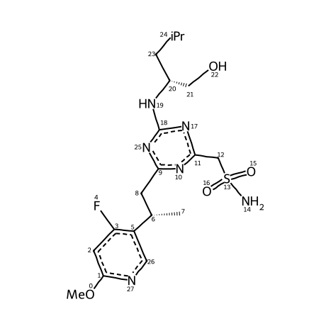 COc1cc(F)c([C@@H](C)Cc2nc(CS(N)(=O)=O)nc(N[C@@H](CO)CC(C)C)n2)cn1